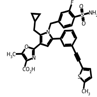 Cc1ccc(C#Cc2cccc(-c3cc(-c4nc(C(=O)O)c(C)o4)c(CC4CC4)n3Cc3ccc(S(N)(=O)=O)c(F)c3)c2)s1